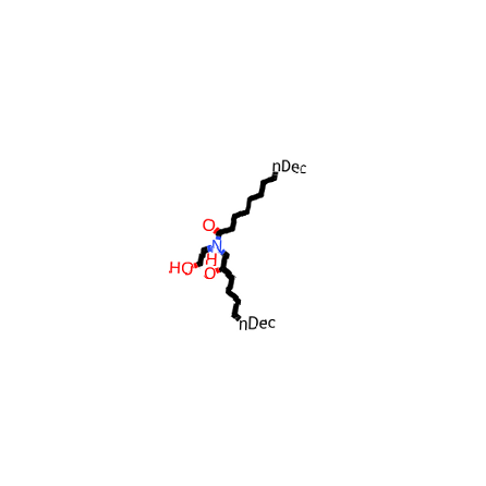 CCCCCCCCCCCCCCCCCC(=O)N(CCO)CC(O)CCCCCCCCCCCCCC